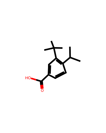 CC(C)c1ccc(C(=O)O)cc1C(C)(C)C